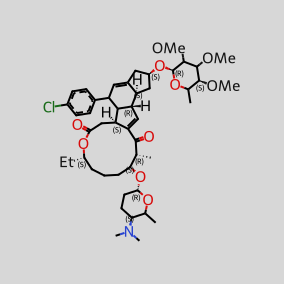 CC[C@H]1CCC[C@H](O[C@H]2CC[C@H](N(C)C)C(C)O2)[C@@H](C)C(=O)C2=C[C@@H]3C(C(c4ccc(Cl)cc4)C=C4C[C@@H](O[C@@H]5OC(C)[C@H](OC)C(OC)C5OC)C[C@H]43)[C@@H]2CC(=O)O1